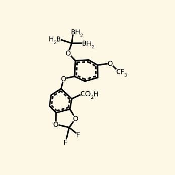 BC(B)(B)Oc1cc(OC(F)(F)F)ccc1Oc1ccc2c(c1C(=O)O)OC(F)(F)O2